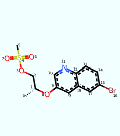 C[C@H](COS(C)(=O)=O)Oc1cnc2ccc(Br)cc2c1